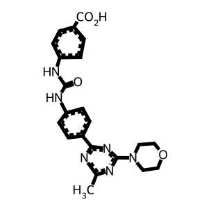 Cc1nc(-c2ccc(NC(=O)Nc3ccc(C(=O)O)cc3)cc2)nc(N2CCOCC2)n1